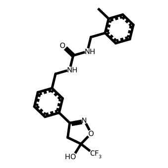 Cc1ccccc1CNC(=O)NCc1cccc(C2=NOC(O)(C(F)(F)F)C2)c1